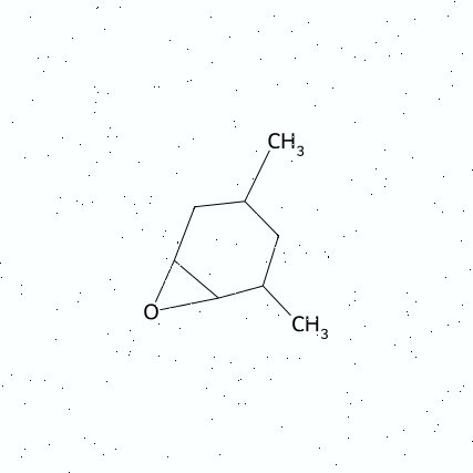 CC1CC(C)C2OC2C1